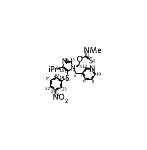 CNC(=S)OC[N+]1(Cc2cccnc2)C=NC(C(C)C)=C1Sc1cccc([N+](=O)[O-])c1